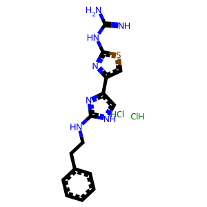 Cl.Cl.N=C(N)Nc1nc(-c2c[nH]c(NCCc3ccccc3)n2)cs1